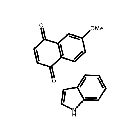 COc1ccc2c(c1)C(=O)C=CC2=O.c1ccc2[nH]ccc2c1